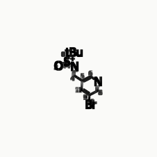 CC(C)(C)[S@+]([O-])N=Cc1cncc(Br)c1